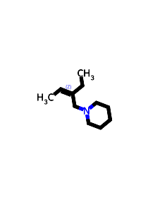 C/C=C(/CC)CN1CCCCC1